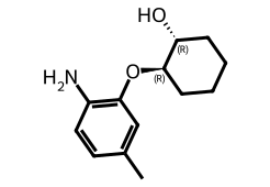 Cc1ccc(N)c(O[C@@H]2CCCC[C@H]2O)c1